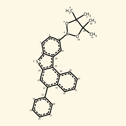 CC1(C)OB(c2ccc3sc4cc(-c5ccccc5)c5ccccc5c4c3c2)OC1(C)C